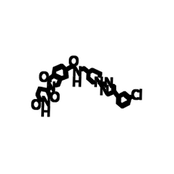 O=C1CCC(N2Cc3cc(C(=O)NCC4CCN(c5ncc(-c6cccc(Cl)c6)cn5)CC4)ccc3C2=O)C(=O)N1